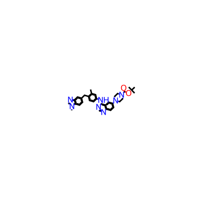 Cc1cc(Nc2ncnc3ccc(N4CCN(C(=O)OC(C)(C)C)CC4)cc23)ccc1Cc1ccc2c(c1)ncn2C